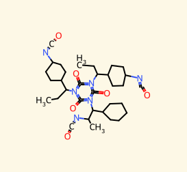 CCC(C1CCC(N=C=O)CC1)n1c(=O)n(C(CC)C2CCC(N=C=O)CC2)c(=O)n(C(C2CCCCC2)C(C)N=C=O)c1=O